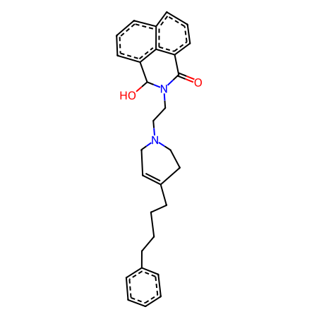 O=C1c2cccc3cccc(c23)C(O)N1CCN1CC=C(CCCCc2ccccc2)CC1